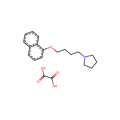 O=C(O)C(=O)O.c1ccc2c(OCCCCN3CCCC3)cccc2c1